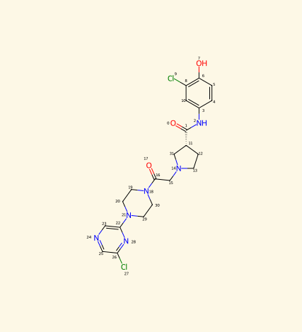 O=C(Nc1ccc(O)c(Cl)c1)[C@@H]1CCN(CC(=O)N2CCN(c3cncc(Cl)n3)CC2)C1